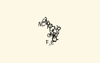 C=CC(=O)N1Cc2cc(CN3C[C@H]4CC(=O)N(c5cc(C(F)(F)F)cc(C)n5)[C@@H]4C(=O)N(C)c4cccc(C)c43)cnc2[C@H]1CC#N